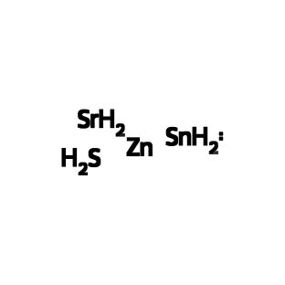 S.[SnH2].[SrH2].[Zn]